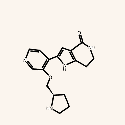 O=C1NCCc2[nH]c(-c3ccncc3OC[C@H]3CCCN3)cc21